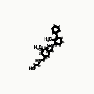 Cc1c(-c2ccccc2)cccc1-n1cc2cc(CNCCO)cc(C)c2n1